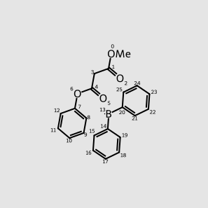 COC(=O)CC(=O)Oc1ccccc1.[B](c1ccccc1)c1ccccc1